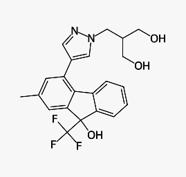 Cc1cc(-c2cnn(CC(CO)CO)c2)c2c(c1)C(O)(C(F)(F)F)c1ccccc1-2